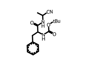 CC(C#N)NC(=O)C(Cc1ccccc1)NC(=O)OC(C)(C)C